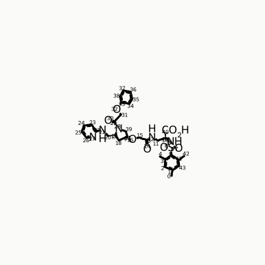 Cc1cc(C)c(S(=O)(=O)N[C@@H](CNC(=O)CO[C@@H]2C[C@@H](CNc3ccccn3)N(C(=O)COc3ccccc3)C2)C(=O)O)c(C)c1